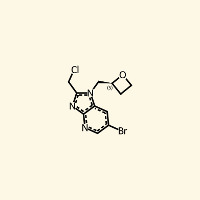 ClCc1nc2ncc(Br)cc2n1C[C@@H]1CCO1